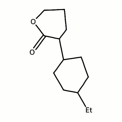 CCC1CCC(C2CCCOC2=O)CC1